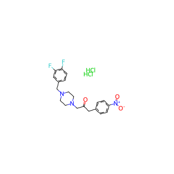 Cl.Cl.O=C(Cc1ccc([N+](=O)[O-])cc1)CN1CCN(Cc2ccc(F)c(F)c2)CC1